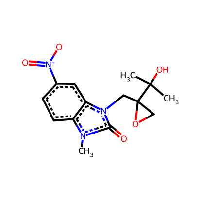 Cn1c(=O)n(CC2(C(C)(C)O)CO2)c2cc([N+](=O)[O-])ccc21